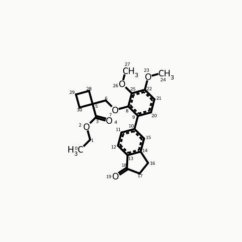 CCOC(=O)C1(COc2c(-c3ccc4c(c3)CCC4=O)ccc(OC)c2OC)CCC1